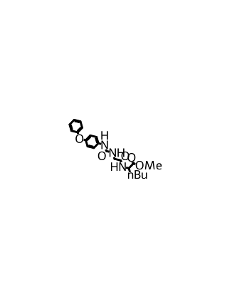 CCCCC(NC(=O)CNC(=O)Nc1ccc(Oc2ccccc2)cc1)C(=O)OC